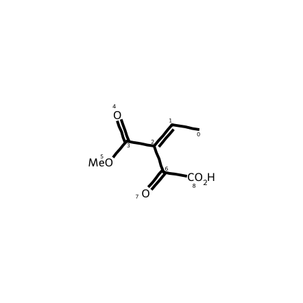 CC=C(C(=O)OC)C(=O)C(=O)O